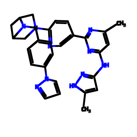 Cc1cc(Nc2cc(C)[nH]n2)nc(-c2ccc(N3CC4CC(C3)N4Cc3ccc(-n4cccn4)cc3)nc2)n1